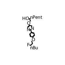 CCCCC[C@H](O)COc1cnc(-c2ccc(OCC[C@@H](F)CCCC)cc2)nc1